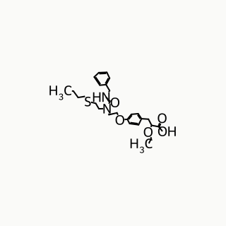 CCCCSCCN(CCOc1ccc(CC(OCC)C(=O)O)cc1)C(=O)NCc1ccccc1